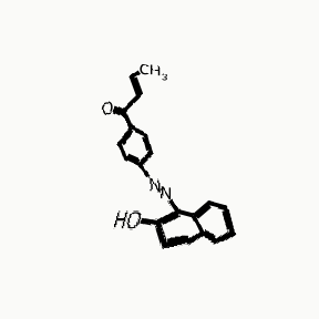 CC=CC(=O)c1ccc(N=Nc2c(O)ccc3ccccc23)cc1